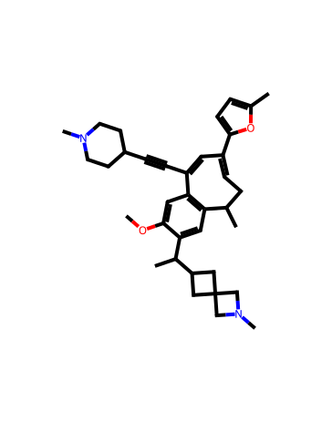 COc1cc2c(cc1C(C)C1CC3(C1)CN(C)C3)C(C)C/C=C(c1ccc(C)o1)/C=C\2C#CC1CCN(C)CC1